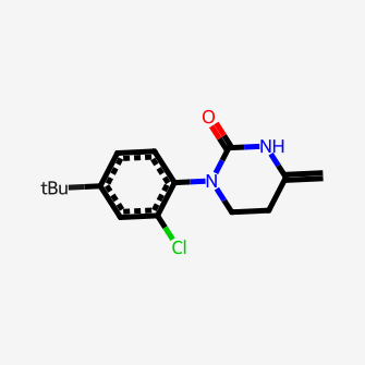 C=C1CCN(c2ccc(C(C)(C)C)cc2Cl)C(=O)N1